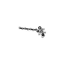 COCCOCCOCCOCCOCCOCCC(C)N1CCC(Nc2nc(Nc3ccc(OC)c(F)c3)nc(NC3CCCCCC3)n2)CC1